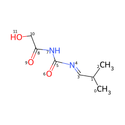 CC(C)C=NC(=O)NC(=O)CO